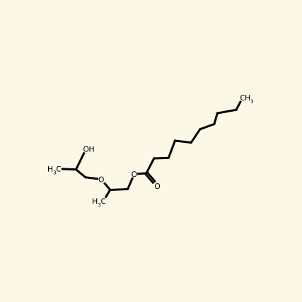 CCCCCCCCCC(=O)OCC(C)OCC(C)O